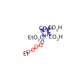 CCOCCOCCOCCOc1ccc(CC(C(=O)OCC)N2CCN(CC(=O)O)CCN(CC(=O)O)CCN(CC(=O)O)CC2)cc1